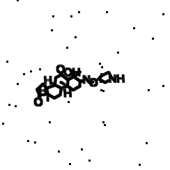 CC1(C)/C(=N/O[C@@H]2CCNC2)CC[C@]2(C)[C@H]3CC[C@]4(C)C(=O)CC[C@H]4[C@@H]3CC(=O)[C@@]12O